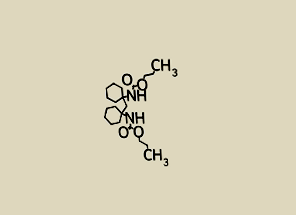 CCCOC(=O)NC1(CC2(NC(=O)OCCC)CCCCC2)CCCCC1